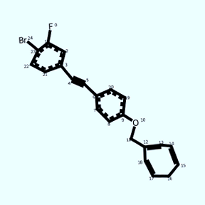 Fc1cc(C#Cc2ccc(OCC3=CC=CCC=C3)cc2)ccc1Br